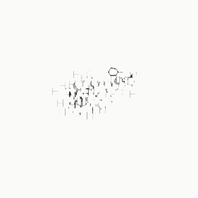 CC[C@H](C)[C@@H]([C@@H](CC(=O)N1CCC[C@H]1[C@H](OC)[C@H](C)CN[C@@H](Cc1ccccc1)C(=O)O)OC)N(C)C(=O)[C@@H](NC(=O)[C@H](C(C)C)N(C)C(=O)[C@@H](NC)C(C)C)C(C)C